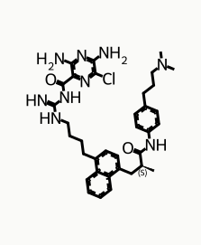 C[C@@H](Cc1ccc(CCCCNC(=N)NC(=O)c2nc(Cl)c(N)nc2N)c2ccccc12)C(=O)Nc1ccc(CCCN(C)C)cc1